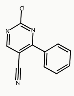 N#Cc1cnc(Cl)nc1-c1ccccc1